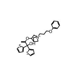 C=C(OC1C[N+]2(CCCOc3ccccc3)CC1C2)C(O)(c1cccs1)c1cccs1